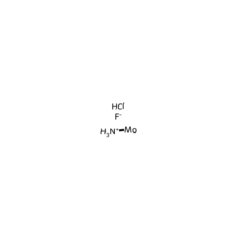 Cl.[F-].[NH3+][Mo]